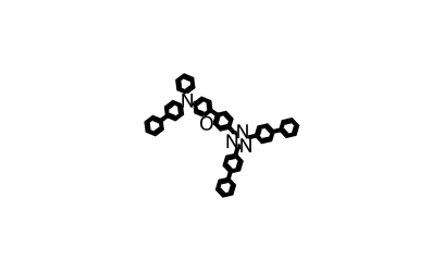 c1ccc(-c2ccc(-c3nc(-c4ccc(-c5ccccc5)cc4)nc(-c4ccc5c(c4)oc4cc(N(c6ccccc6)c6ccc(-c7ccccc7)cc6)ccc45)n3)cc2)cc1